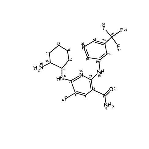 NC(=O)c1cc(F)c(NC2CCCCC2N)nc1Nc1cncc(C(F)(F)F)c1